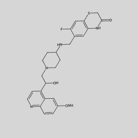 COc1ccc2nccc(C(O)CN3CCC(NCc4cc5c(cc4F)SCC(=O)N5)CC3)c2c1